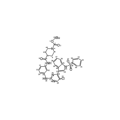 CC(C)(C)OC(=O)N1CCC(C(=O)Nc2cccc(Nc3ncc(Cl)c(-c4cn(S(=O)(=O)c5ccccc5)c5ccccc45)n3)c2)CC1